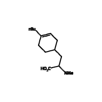 CCCCC1=CCC(CC(NC)C(=O)O)CC1